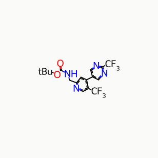 CC(C)(C)OC(=O)NCc1cc(-c2cnc(C(F)(F)F)nc2)c(C(F)(F)F)cn1